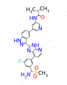 CC(C)C(=O)Nc1cncc(-c2ccc3[nH]nc(-c4nc5c(-c6cc(F)cc(C(N)S(C)(=O)=O)c6)ccnc5[nH]4)c3c2)c1